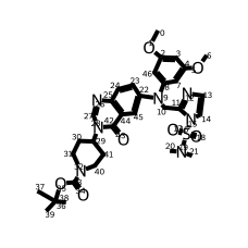 COc1cc(OC)cc(N(Cc2nccn2S(=O)(=O)N(C)C)c2ccc3ncn(C4CCN(C(=O)OC(C)(C)C)CC4)c(=O)c3c2)c1